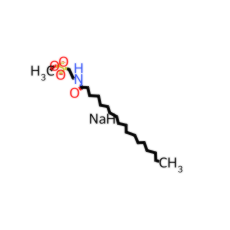 CCCCCCCCCCCCCCCCCC(=O)NCCS(=O)(=O)OC.[NaH]